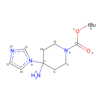 CC(C)(C)OC(=O)N1CCC(N)(n2ccnc2)CC1